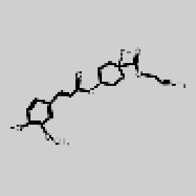 C=CCOC(=O)[C@]1(C)CC[C@@H](OC(=O)C=Cc2ccc(O)c(OC)c2)CC1